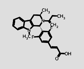 C=C(CC)N1[C@H](c2c(F)cc(/C=C/C(=O)O)cc2F)c2c(c3ccccc3n2C)C[C@H]1C